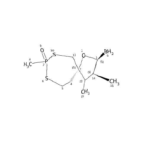 B[C@@H]1O[C@@]2(CCSP(C)(=O)SC2)C(C)[C@@H]1C